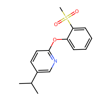 CC(C)c1ccc(Oc2ccccc2S(C)(=O)=O)nc1